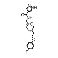 O=C(NC[C@@H]1CC[C@H](CCOc2ccc(F)cc2)CO1)c1cn[nH]c1